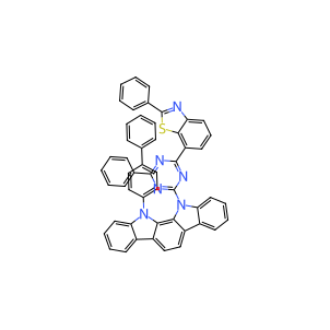 c1ccc(-c2ccc(-n3c4ccccc4c4ccc5c6ccccc6n(-c6nc(-c7ccccc7)nc(-c7cccc8nc(-c9ccccc9)sc78)n6)c5c43)cc2)cc1